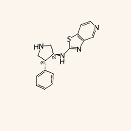 c1ccc([C@@H]2CNC[C@H]2Nc2nc3cnccc3s2)cc1